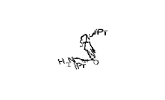 CC(C)CN1CCSC12CCN(C(=O)[C@@H](CN)C(C)C)C2